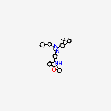 CC1(C)c2ccccc2-c2ccc(-c3nc(C4=CC(C5C=CC=CC5)C=C4)cc(-c4ccc(C5=c6ccccc6=C6Oc7ccccc7C6N5)cc4)n3)cc21